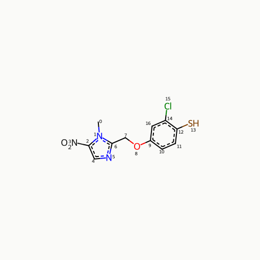 Cn1c([N+](=O)[O-])cnc1COc1ccc(S)c(Cl)c1